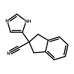 N#CC1(c2cnc[nH]2)Cc2ccccc2C1